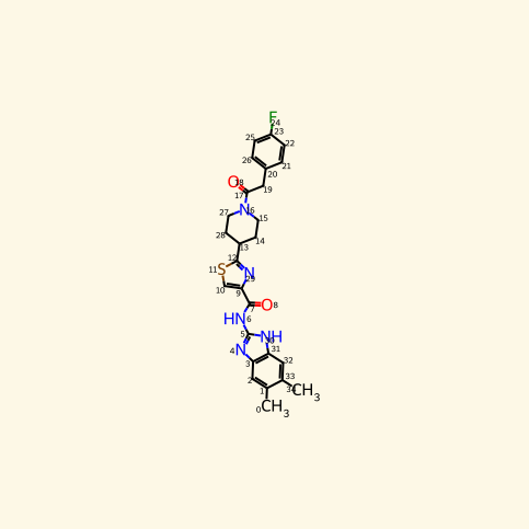 Cc1cc2nc(NC(=O)c3csc(C4CCN(C(=O)Cc5ccc(F)cc5)CC4)n3)[nH]c2cc1C